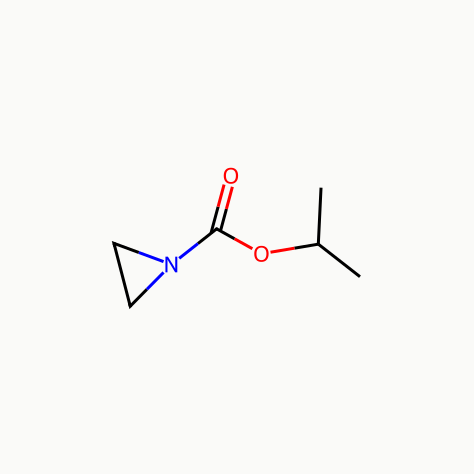 CC(C)OC(=O)N1CC1